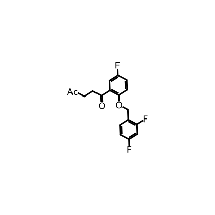 CC(=O)CCC(=O)c1cc(F)ccc1OCc1ccc(F)cc1F